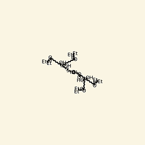 CCC(CC)COC(=O)CCCCCCC(O)CN(CCCSSCCN1CCN(CCOC(=O)CCCN(C(O)CCCCCC(=O)OCC(CC)CC)C(O)CCCCCC(=O)OCC(CC)CC)CC1)CC(O)CCCCCCC(=O)OCC(CC)CC